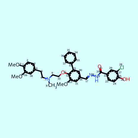 COc1ccc(CCN(C)CCOc2c(OC)cc(/C=N/NC(=O)c3ccc(O)c(Cl)c3)cc2-c2ccccc2)cc1OC